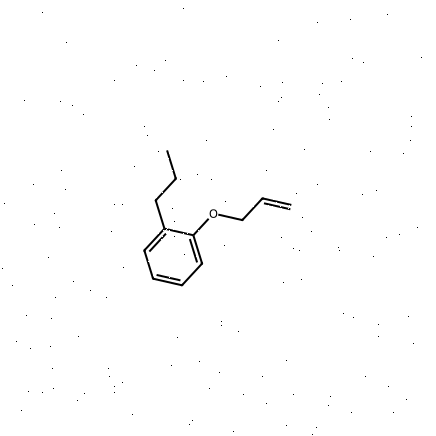 C=CCOc1ccccc1CCC